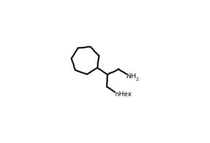 CCCCCCCC(CN)C1CCCCCC1